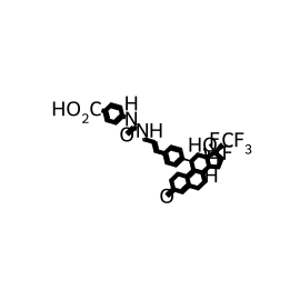 C[C@]12C[C@H](c3ccc(C=CCNC(=O)Nc4ccc(C(=O)O)cc4)cc3)C3=C4CCC(=O)C=C4CC[C@H]3[C@@H]1CC[C@@]2(O)C(F)(F)C(F)(F)F